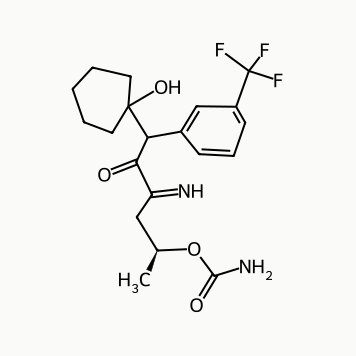 C[C@@H](CC(=N)C(=O)C(c1cccc(C(F)(F)F)c1)C1(O)CCCCC1)OC(N)=O